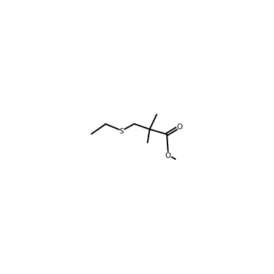 CCSCC(C)(C)C(=O)OC